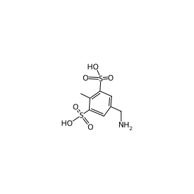 Cc1c(S(=O)(=O)O)cc(CN)cc1S(=O)(=O)O